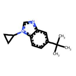 CC(C)(C)c1ccc2c(c1)ncn2C1CC1